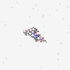 [2H]C([2H])([2H])c1cc2cnc(NC3([2H])C([2H])([2H])CN(S(C)(=O)=O)CC3([2H])[2H])nc2n([C@@H]2CCC[C@]2(O)C([2H])([2H])[2H])c1=O